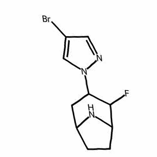 FC1C2CCC(CC1n1cc(Br)cn1)N2